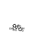 CCN(CC)c1cccc2c1C(=O)N(C1CCC(=O)NC1=O)C2=O